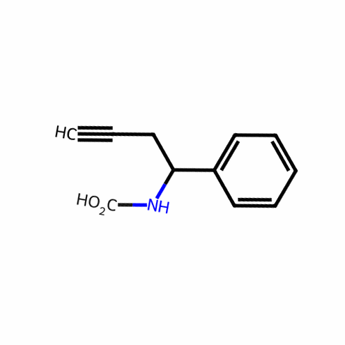 C#CCC(NC(=O)O)c1ccccc1